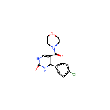 CC1=C(C(=O)N2CCOCC2)C(c2ccc(Cl)cc2)NC(=O)N1